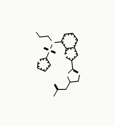 CC(=O)CC1CN=C(c2cc3cccc(N(CCF)S(=O)(=O)c4cccs4)c3[nH]2)S1